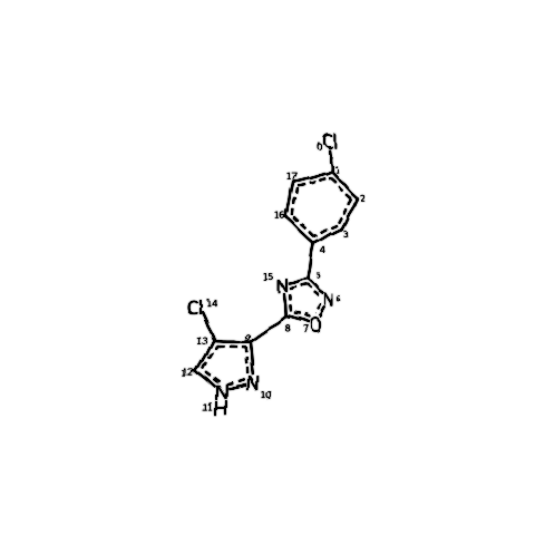 Clc1ccc(-c2noc(-c3n[nH]cc3Cl)n2)cc1